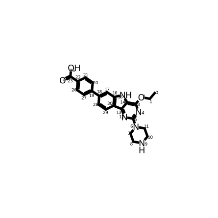 CCOc1nc(N2CCNCC2)nc2c1[nH]c1cc(-c3ccc(C(=O)O)cc3)ccc12